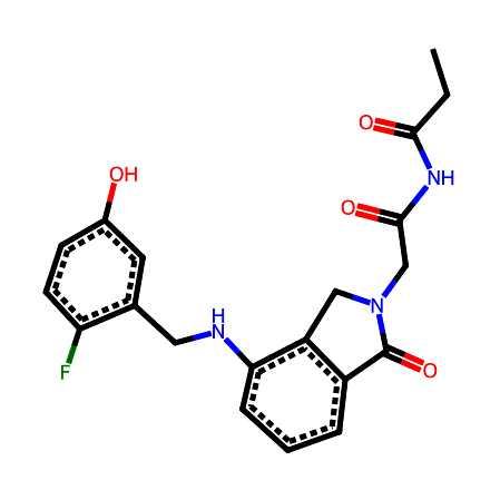 CCC(=O)NC(=O)CN1Cc2c(NCc3cc(O)ccc3F)cccc2C1=O